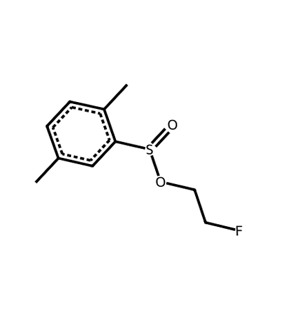 Cc1ccc(C)c(S(=O)OCCF)c1